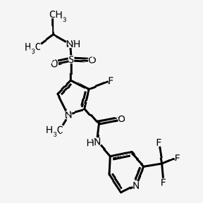 CC(C)NS(=O)(=O)c1cn(C)c(C(=O)Nc2ccnc(C(F)(F)F)c2)c1F